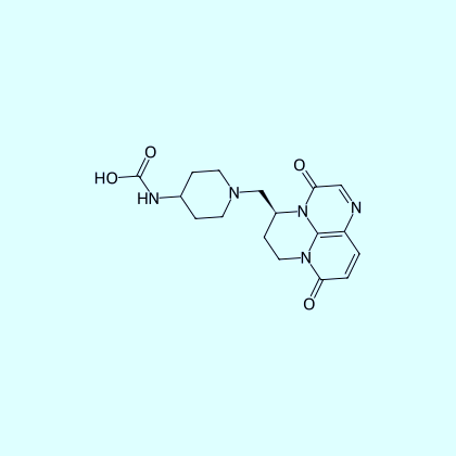 O=C(O)NC1CCN(C[C@@H]2CCn3c(=O)ccc4ncc(=O)n2c43)CC1